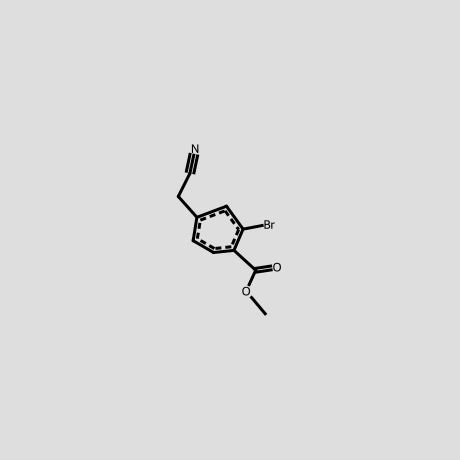 COC(=O)c1ccc(CC#N)cc1Br